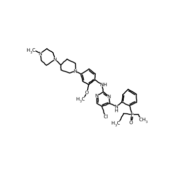 CCP(=O)(CC)c1ccccc1Nc1nc(Nc2ccc(N3CCC(N4CCN(C)CC4)CC3)cc2OC)ncc1Cl